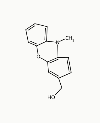 CN1c2ccccc2Oc2cc(CO)ccc21